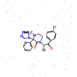 CCC(C(=O)c1ccc(Cl)cc1)N1CCN(C(=O)O)C(c2ccccn2)(n2cnnc2)C1=O